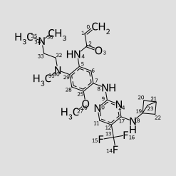 C=CC(=O)Nc1cc(Nc2ncc(C(F)(F)F)c(NC34CC(C3)C4)n2)c(OC)cc1N(C)CCN(C)C